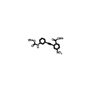 COC(=O)c1ccc([N+](=O)[O-])cc1C#Cc1cccc(NC(=O)OC(C)(C)C)c1